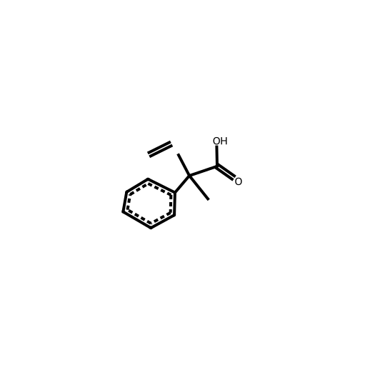 C=C.CC(C)(C(=O)O)c1ccccc1